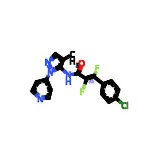 Cc1cnn(-c2ccncc2)c1NC(=O)/C(F)=C(\F)c1ccc(Cl)cc1